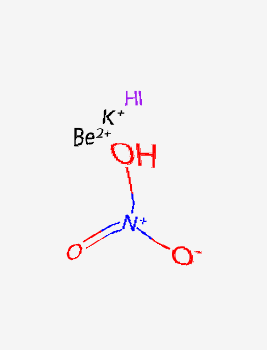 I.O=[N+]([O-])O.[Be+2].[K+]